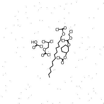 CCCCCCCCCCCCCCOC(=O)Cl.O=C(Cl)OC1CCCCC1.O=C(Cl)OCC(Cl)Cl.O=C(Cl)OCCl.O=C(O)Cl